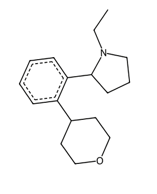 CCN1CCCC1c1ccccc1C1CCOCC1